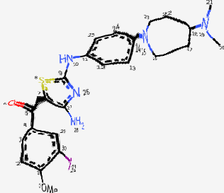 COc1ccc(C(=O)c2sc(Nc3ccc(N4CCC(N(C)C)CC4)cc3)nc2N)cc1I